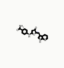 NC(=O)c1ccc(NC2=CC(=O)/C(=C/c3c[nH]c4ncccc34)O2)cc1